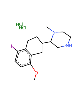 COc1ccc(I)c2c1CC(C1CNCCN1C)CC2.Cl.Cl